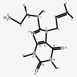 CC(C)=CCn1c(N(C)[C@H](C)CN)nc2c1c(=O)n(C)c(=O)n2C